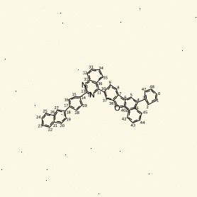 c1ccc(-c2cc3c4ccc(-c5nc(-c6ccc(-c7ccc8ccccc8c7)cc6)nc6ccccc56)cc4oc3c3ccccc23)cc1